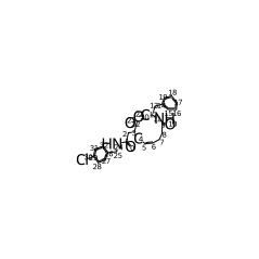 O=C(C[C@@H]1CC=CCCC(=O)N[C@H](Cc2ccccc2)COC1=O)NCc1ccc(Cl)cc1